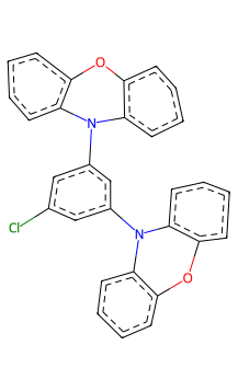 Clc1cc(N2c3ccccc3Oc3ccccc32)cc(N2c3ccccc3Oc3ccccc32)c1